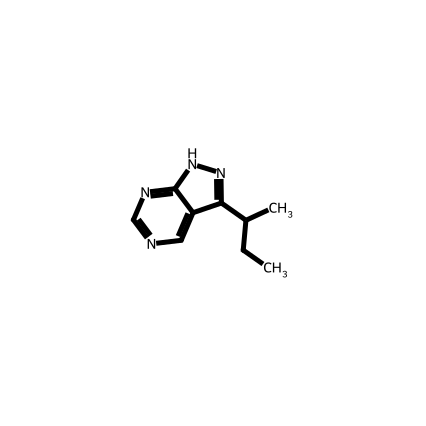 CCC(C)c1n[nH]c2ncncc12